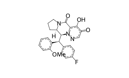 COc1ccccc1[C@H](c1ccc(F)cc1)[C@H]1[C@H]2CCCN2C(=O)c2c(O)c(=O)cnn21